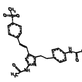 CC(=O)Nc1nc(CCc2ccc(NC(=O)O)cc2)c(C=Cc2ccc(S(C)(=O)=O)cc2)s1